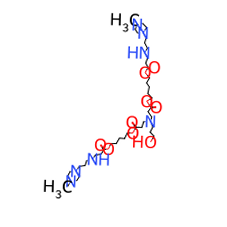 CN1CCN(CCCNCCC(=O)OCCCCCOC(=O)CCN(CCCO)CCC(=O)OCCCCCOC(=O)CCNCCCN2CCN(C)CC2)CC1